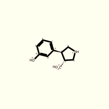 O=C(O)[C@H]1CNC[C@@H]1c1cccc(O)c1